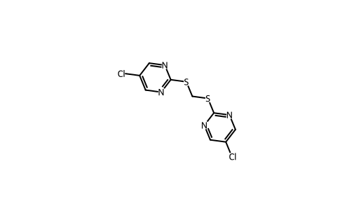 Clc1cnc(SCSc2ncc(Cl)cn2)nc1